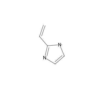 C=CC1=NC=C[N]1